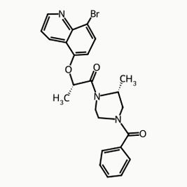 C[C@H](Oc1ccc(Br)c2ncccc12)C(=O)N1CCN(C(=O)c2ccccc2)C[C@H]1C